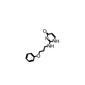 O=c1cc[nH]c(NCCCOc2ccccc2)n1